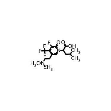 CC(C)CC(C(=O)O)n1cc(CCN(C)C)c(C(F)(F)F)c(F)c1=O